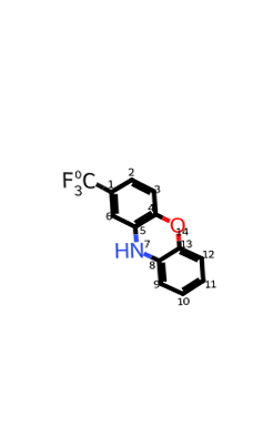 FC(F)(F)c1ccc2c(c1)Nc1ccccc1O2